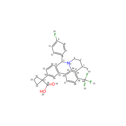 CC1CCN(C(c2ccc(F)cc2)c2ccc(C3(C(=O)O)CCC3)cc2-c2ccc(C(F)(F)F)cc2)CC1